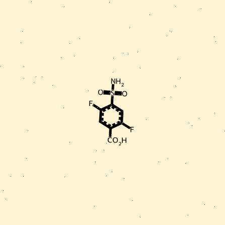 NS(=O)(=O)c1cc(F)c(C(=O)O)cc1F